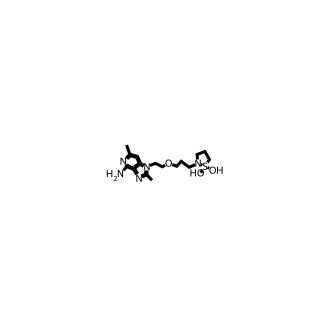 Cc1cc2c(nc(C)n2CCOCCCN2CCCS2(O)O)c(N)n1